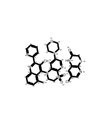 Cc1c(-c2ccccn2)nc2cccc(F)c2c1N1CCS(=O)(=O)c2ncc(N3CCOCC3)cc21.O=C1CSc2ncc(Cl)cc2N1